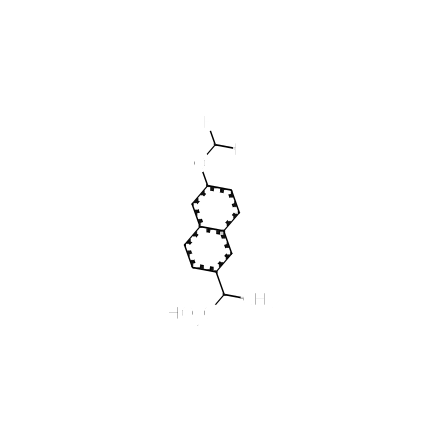 CC(C(=O)O)c1ccc2cc(OC(F)F)ccc2c1